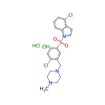 CN1CCN(Cc2cc(S(=O)(=O)n3ccc4c(Cl)cccc43)ccc2Cl)CC1.Cl.Cl